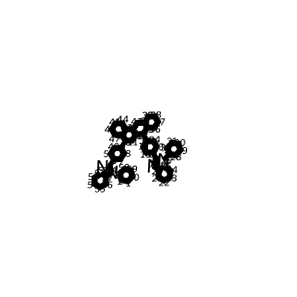 c1ccc(-n2c(-c3ccc(-c4cc5c(-c6ccc(-c7nc8ccccc8n7-c7ccccc7)cc6)c6ccccc6cc5c5ccccc45)cc3)nc3ccccc32)cc1